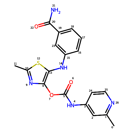 Cc1cc(NC(=O)Oc2nc(C)sc2Nc2cccc(C(N)=O)c2)ccn1